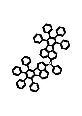 c1ccc(-c2c(-c3ccccc3)c(-c3ccccc3)c3c(c2-c2ccccc2)-c2cccc4c(N(c5ccccc5)c5ccc6c7c(cccc57)-c5c(-c7ccccc7)c(-c7ccccc7)c(-c7ccccc7)c(-c7ccccc7)c5-6)ccc-3c24)cc1